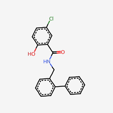 O=C(NCc1ccccc1-c1ccccc1)c1cc(Cl)ccc1O